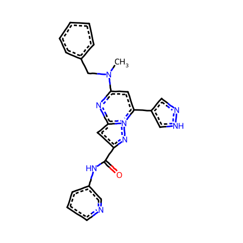 CN(Cc1ccccc1)c1cc(-c2cn[nH]c2)n2nc(C(=O)Nc3cccnc3)cc2n1